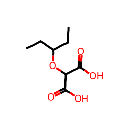 CCC(CC)OC(C(=O)O)C(=O)O